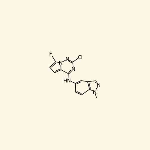 Cn1ncc2cc(Nc3nc(Cl)nn4c(F)ccc34)ccc21